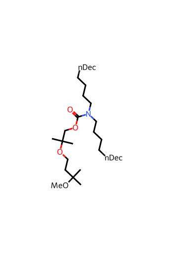 CCCCCCCCCCCCCCN(CCCCCCCCCCCCCC)C(=O)OCC(C)(C)OCCC(C)(C)OC